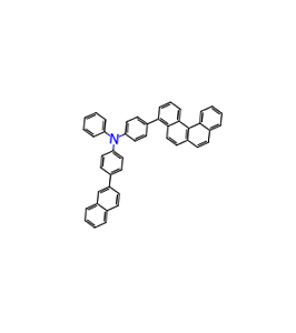 c1ccc(N(c2ccc(-c3ccc4ccccc4c3)cc2)c2ccc(-c3cccc4c3ccc3ccc5ccccc5c34)cc2)cc1